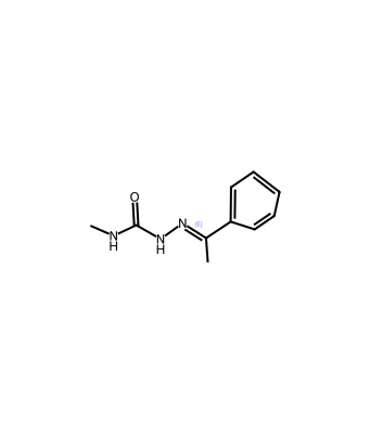 CNC(=O)N/N=C(\C)c1ccccc1